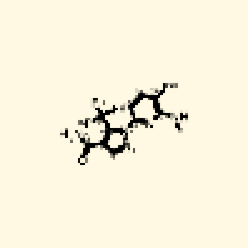 CNc1nc(-n2ncc(C(N)=O)c2C(F)(F)F)ccc1F